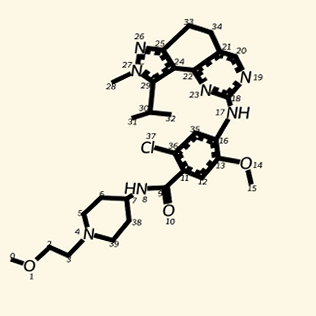 COCCN1CCC(NC(=O)c2cc(OC)c(Nc3ncc4c(n3)-c3c(nn(C)c3C(C)C)CC4)cc2Cl)CC1